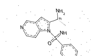 C[C@@H](N)c1cc2cnccc2n1S(=N)(=O)c1ccccc1